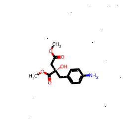 COC(=O)C[C@@](O)(Cc1ccc(N)cc1)C(=O)OC